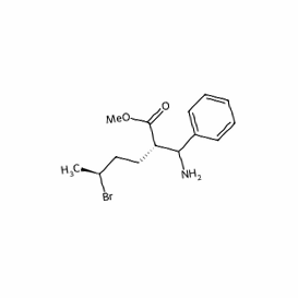 COC(=O)[C@@H](CC[C@H](C)Br)C(N)c1ccccc1